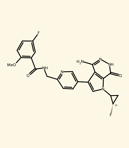 COc1ccc(F)cc1C(=O)NCc1ccc(-c2cn(C3C[C@@H]3F)c3c(=O)[nH]nc(N)c23)cn1